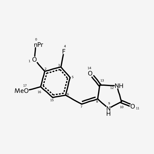 CCCOc1c(F)cc(/C=C2/NC(=O)NC2=O)cc1OC